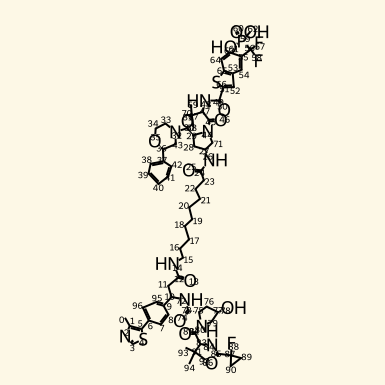 Cc1ncsc1-c1ccc(C(CC(=O)NCCCCCCCCCC(=O)N[C@H]2C[C@@H](C(=O)N3CCOC(c4ccccc4)C3)N(C(=O)C(NC(=O)c3cc4cc(C(F)(F)P(=O)(O)O)ccc4s3)C(C)(C)C)C2)NC(=O)[C@@H]2C[C@@H](O)CN2C(=O)C(NC(=O)C2(F)CC2)C(C)(C)C)cc1